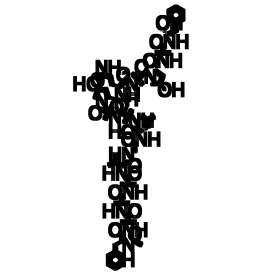 CC(=O)N[C@@H](Cc1ccccc1)C(=O)NC(C)(C)C(=O)NC(C)(C)C(=O)NC(C)(C)C(=O)N[C@H](C(=O)NCC(=O)N[C@@H](CC(C)C)C(=O)NC(C)(C)C(=O)NC(C)(C)C(=O)N1C[C@H](O)C[C@H]1C(=O)N[C@@H](CCC(N)=O)C(=O)NC(C)(C)C(=O)N1C[C@H](O)C[C@H]1C(=O)NC(C)(C)C(=O)N[C@H](CO)Cc1ccccc1)C(C)C